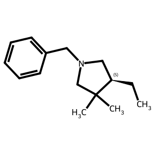 CC[C@@H]1CN(Cc2ccccc2)CC1(C)C